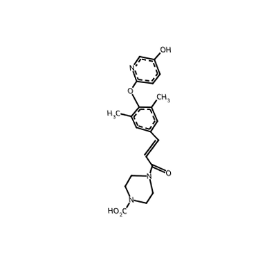 Cc1cc(C=CC(=O)N2CCN(C(=O)O)CC2)cc(C)c1Oc1ccc(O)cn1